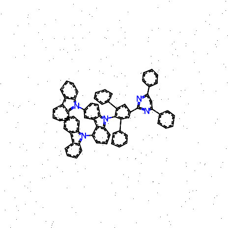 c1ccc(-c2cc(-c3ccccc3)nc(-c3cc(-c4ccccc4)c(-n4c5ccc(-n6c7ccccc7c7ccccc76)cc5c5c(-n6c7ccccc7c7ccccc76)cccc54)c(-c4ccccc4)c3)n2)cc1